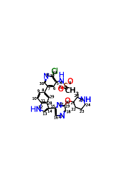 CS(=O)(=O)Nc1cc(-c2ccc3[nH]cc(-c4cncc(O[C@@H]5CCCNC5)n4)c3c2)cnc1Cl